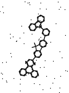 CC1(C)c2cc(-c3cccc(-n4c5ccccc5c5ccccc54)c3)ccc2-c2ccc(-c3cnc4c5ccccc5c5ccccc5c4n3)cc21